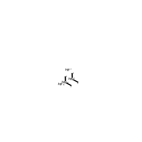 CNC.CNC.F.F